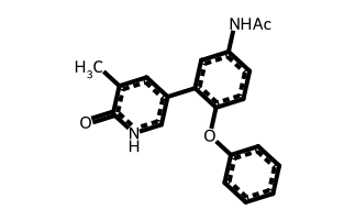 CC(=O)Nc1ccc(Oc2ccccc2)c(-c2c[nH]c(=O)c(C)c2)c1